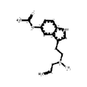 C=CCN(C)CCc1c[nH]c2ccc(OC(C)=O)cc12